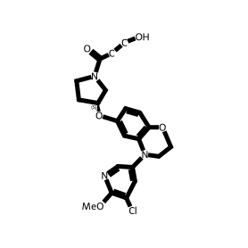 COc1ncc(N2CCOc3ccc(O[C@H]4CCN(C(=O)CCO)C4)cc32)cc1Cl